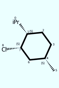 CC(C)[C@@H]1CC[C@H](C)C[C@@H]1Cl